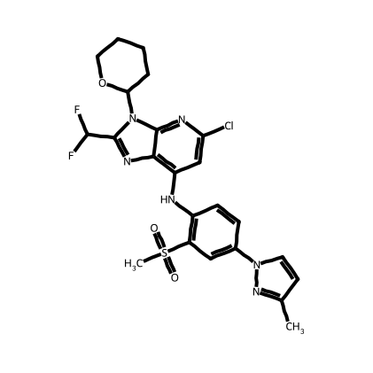 Cc1ccn(-c2ccc(Nc3cc(Cl)nc4c3nc(C(F)F)n4C3CCCCO3)c(S(C)(=O)=O)c2)n1